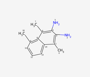 Cc1c(N)c(N)c(C)c2c(C)cccc12